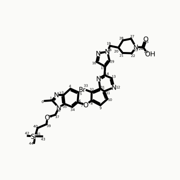 Cc1nc2ccc(Oc3ccc4ncc(-c5cnn(CC6CCN(C(=O)O)CC6)c5)nc4c3Br)cc2n1COCC[Si](C)(C)C